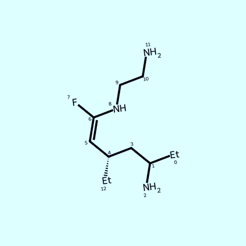 CCC(N)C[C@@H](/C=C(/F)NCCN)CC